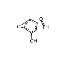 O=P.Oc1cccc2c1O2